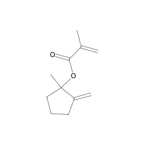 C=C(C)C(=O)OC1(C)CCCC1=C